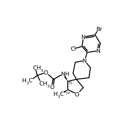 C[C@@H]1OCC2(CCN(c3ncc(Br)nc3Cl)CC2)[C@@H]1NC(=O)OC(C)(C)C